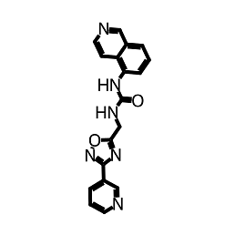 O=C(NCc1nc(-c2cccnc2)no1)Nc1cccc2cnccc12